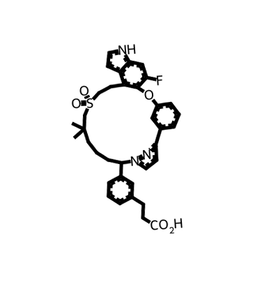 CC1(C)CCCC(c2cccc(CCC(=O)O)c2)n2ccc(n2)-c2cccc(c2)Oc2c(F)cc3[nH]ccc3c2CCS(=O)(=O)C1